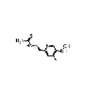 Cc1cc(C=NNC(N)=S)ncc1NO